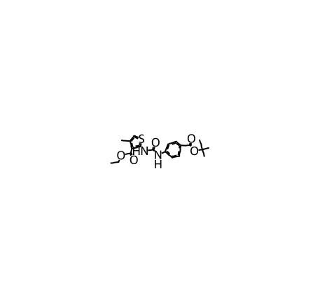 CCOC(=O)c1c(C)csc1NC(=O)Nc1ccc(C(=O)OC(C)(C)C)cc1